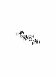 CC(C)NC1CCN(c2ncc(-c3ccc(-c4cn[nH]c4F)cc3O)nn2)C1